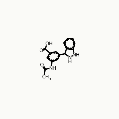 CC(=O)Nc1cc(C(=O)O)cc(C2NNc3ccccc32)c1